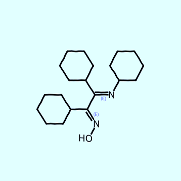 O/N=C(/C(=N/C1CCCCC1)C1CCCCC1)C1CCCCC1